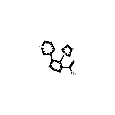 NC(=O)c1cccc(-c2cccnc2)c1-n1cccc1